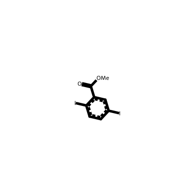 COC(=O)c1cc(I)ccc1I